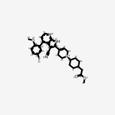 COC(=O)CC1CCC(N2CC=C(c3[nH]c4nccc(-c5cc(F)ccc5OC)c4c3C#N)CC2)CC1